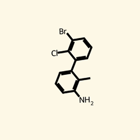 Cc1c(N)cccc1-c1cccc(Br)c1Cl